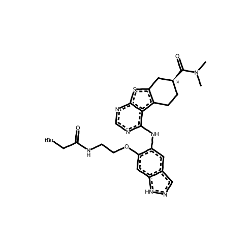 CN(C)C(=O)[C@H]1CCc2c(sc3ncnc(Nc4cc5cn[nH]c5cc4OCCNC(=O)CC(C)(C)C)c23)C1